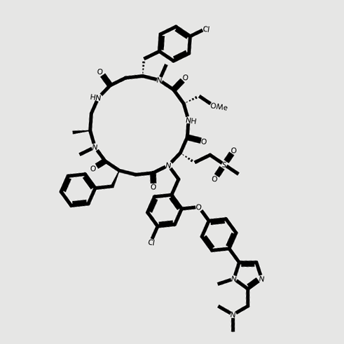 COC[C@@H]1NC(=O)[C@H](CCS(C)(=O)=O)N(Cc2ccc(Cl)cc2Oc2ccc(-c3cnc(CN(C)C)n3C)cc2)C(=O)C[C@@H](Cc2ccccc2)C(=O)N(C)[C@@H](C)CNC(=O)C[C@H](Cc2ccc(Cl)cc2)N(C)C1=O